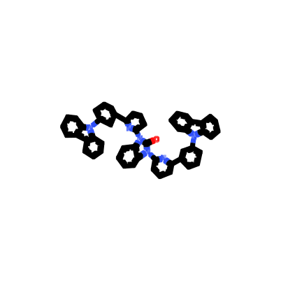 O=c1n(-c2cccc(-c3cccc(-n4c5ccccc5c5ccccc54)c3)n2)c2ccccc2n1-c1cccc(-c2cccc(-n3c4ccccc4c4ccccc43)c2)n1